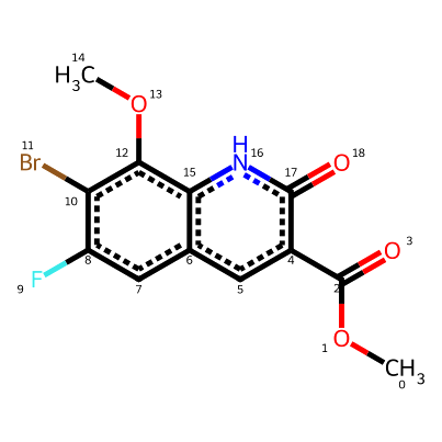 COC(=O)c1cc2cc(F)c(Br)c(OC)c2[nH]c1=O